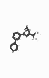 CC(C)C1=CC(c2cccc(C3=CCCC=C3)c2)N2CC12